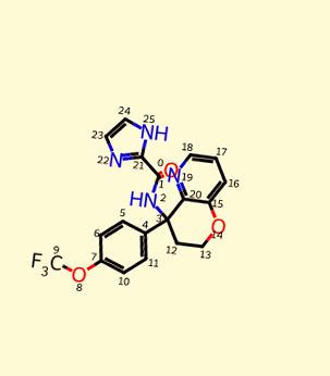 O=C(NC1(c2ccc(OC(F)(F)F)cc2)CCOc2cccnc21)c1ncc[nH]1